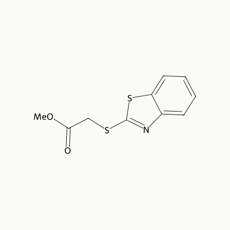 COC(=O)CSc1nc2ccccc2s1